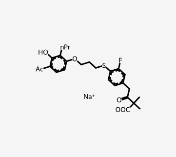 CCCc1c(OCCCSc2ccc(CC(=O)C(C)(C)C(=O)[O-])cc2F)ccc(C(C)=O)c1O.[Na+]